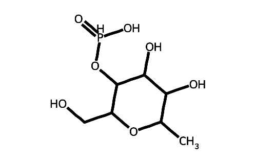 CC1OC(CO)C(O[PH](=O)O)C(O)C1O